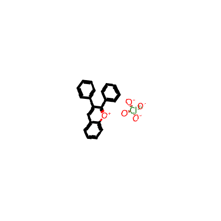 [O-][Cl+3]([O-])([O-])[O-].c1ccc(-c2cc3ccccc3[o+]c2-c2ccccc2)cc1